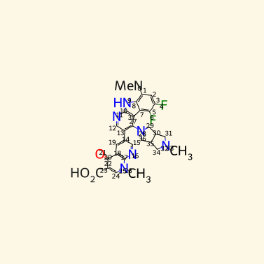 CNc1cc(F)c(F)c2c1[nH]c1ncc(-c3cnc4c(c3)c(=O)c(C(=O)O)cn4C)c(N3CC4CN(C)CC4C3)c12